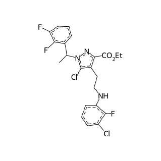 CCOC(=O)c1nn(C(C)c2cccc(F)c2F)c(Cl)c1CCNc1cccc(Cl)c1F